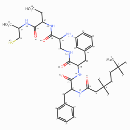 CNC(C)(C)CCC(C)(C)CC(=O)NC(Cc1ccccc1)C(=O)NC(Cc1ccccc1)C(=O)NCC(N)C(=O)NC(CC(=O)O)C(=O)NC(CS)C(=O)O